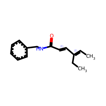 C/C=C(/C=C/C(=O)NCc1ccccc1)CC